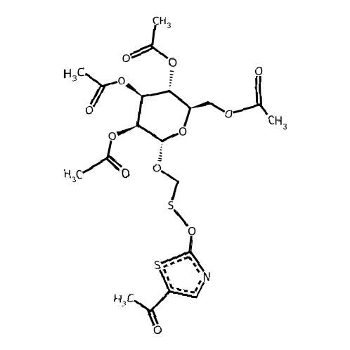 CC(=O)OC[C@H]1O[C@H](OCSOc2ncc(C(C)=O)s2)[C@@H](OC(C)=O)[C@@H](OC(C)=O)[C@@H]1OC(C)=O